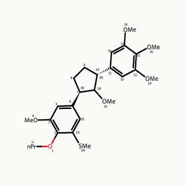 CCCOc1c(OC)cc([C@H]2CC[C@H](c3cc(OC)c(OC)c(OC)c3)C2OC)cc1SC